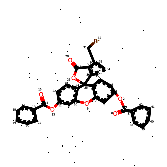 O=C(Oc1ccc2c(c1)Oc1cc(OC(=O)c3ccccc3)ccc1C21OC(=O)c2c(CBr)cccc21)c1ccccc1